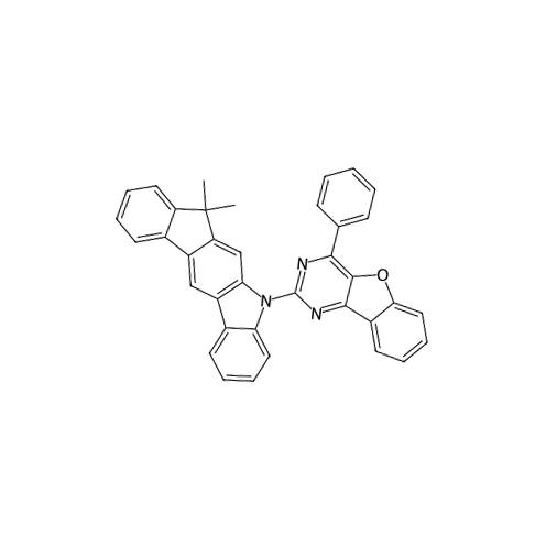 CC1(C)c2ccccc2-c2cc3c4ccccc4n(-c4nc(-c5ccccc5)c5oc6ccccc6c5n4)c3cc21